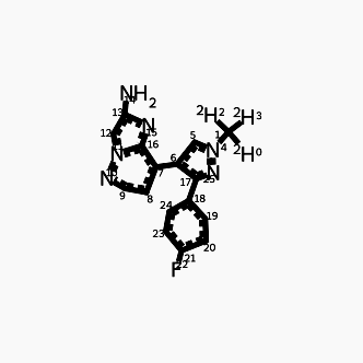 [2H]C([2H])([2H])n1cc(-c2ccnn3cc(N)nc23)c(-c2ccc(F)cc2)n1